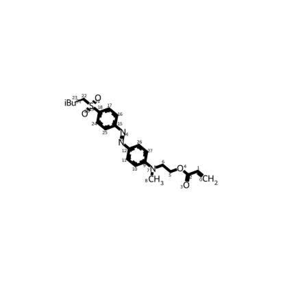 C=CC(=O)OCCN(C)c1ccc(N=Nc2ccc(S(=O)(=O)C[C@H](C)CC)cc2)cc1